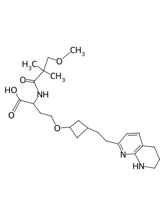 COCC(C)(C)C(=O)NC(CCOC1CC(CCc2ccc3c(n2)NCCC3)C1)C(=O)O